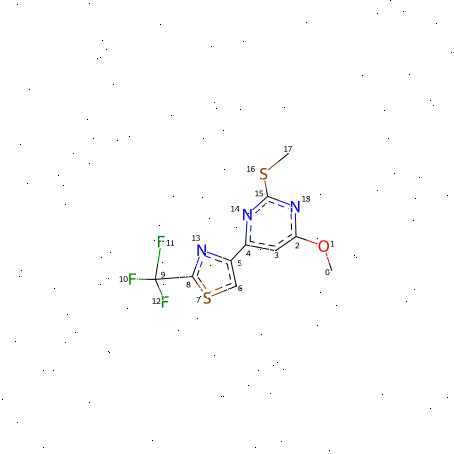 COc1cc(-c2csc(C(F)(F)F)n2)nc(SC)n1